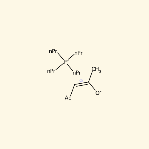 CC(=O)/C=C(/C)[O-].CCC[P+](CCC)(CCC)CCC